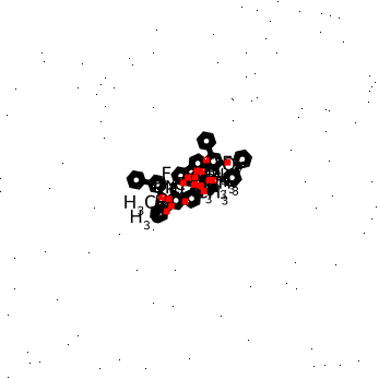 Cc1cccc(-c2cc(-c3ccccc3)cc(F)c2N(c2ccc3c(c2)C(C(C)(C)C)(C2(C(C)(C)C)c4ccccc4-c4ccc(N(c5c(F)cc(-c6ccccc6)cc5-c5cccc(C)c5C)c5cccc6c5oc5ccccc56)cc42)c2ccccc2-3)c2cccc3c2oc2ccccc23)c1C